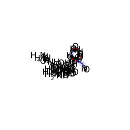 CO[C@@H](/C(C)=C/C=C/C(C)=C/c1coc(C)n1)[C@@H](C)[C@@H]1C[C@H](OC(=O)OCCSSC[C@H](NC(=O)[C@H](CC(=O)O)NC(=O)[C@H](CC(=O)O)NC(=O)[C@H](CCCNC(=N)N)NC(=O)[C@H](CC(=O)O)NC(=O)CC[C@H](NC(=O)c2ccc(NCc3cnc4nc(N)[nH]c(=O)c4n3)cc2)C(=O)O)C(=O)O)[C@@]2(C)O[C@@H]2/C=C/[C@@H](C)[C@H]2C[C@H](CC(=O)O2)C[C@@H]2O[C@H]2C(=O)O1